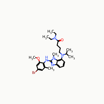 CCN(CC)C(=O)CCCN(c1cccc2nc(Nc3c(C)cc(Br)cc3OC)n(C)c12)C(C)C